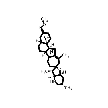 CON=C1CC[C@@]2(C)[C@H](CC[C@H]3[C@@H]4CCC5(CC(C)=C4C[C@@H]32)O[C@@H]2C[C@H](C)CN[C@H]2[C@H]5C)C1